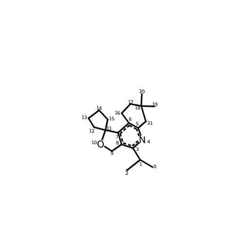 CC(C)c1nc2c(c3c1COC31CCCC1)CCC(C)(C)C2